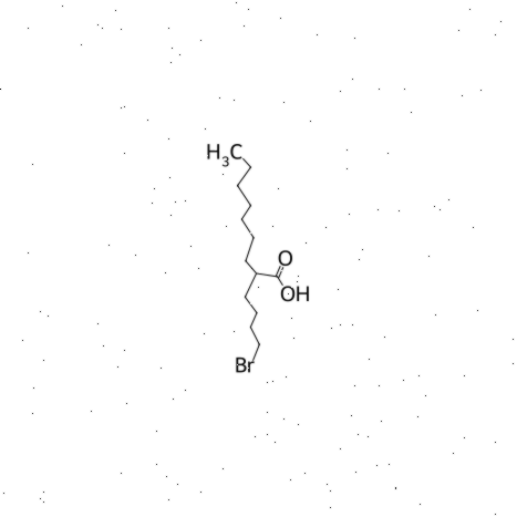 CCCCCCCC(CCCCBr)C(=O)O